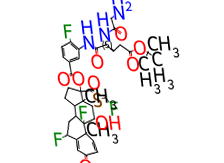 CC(C)(C)OC(=O)CC[C@H](NC(=O)CN)C(=O)Nc1cc(C(=O)OC2(C(=O)SCF)CCC3C4CC(F)C5=CC(=O)C=CC5(C)C4(F)C(O)CC32C)ccc1F